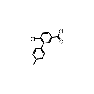 Cc1ccc(-c2cc(C(=O)Cl)ccc2Cl)cc1